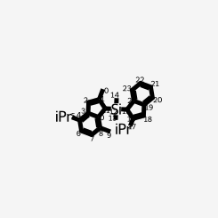 CC1=Cc2c(C(C)C)ccc(C)c2C1[Si](C)(C)C1C(C(C)C)=Cc2ccccc21